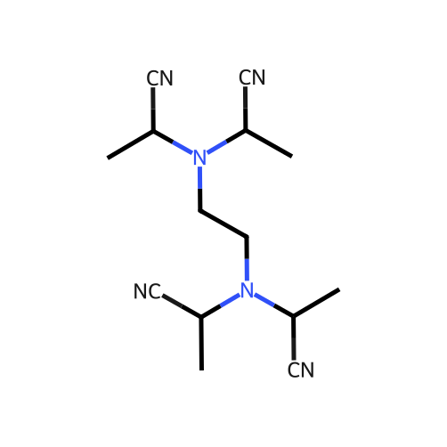 CC(C#N)N(CCN(C(C)C#N)C(C)C#N)C(C)C#N